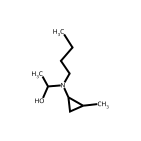 CCCCN(C(C)O)C1CC1C